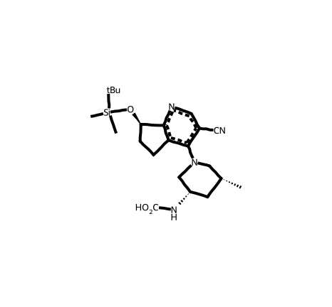 C[C@@H]1C[C@H](NC(=O)O)CN(c2c(C#N)cnc3c2CC[C@H]3O[Si](C)(C)C(C)(C)C)C1